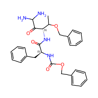 CC(OCc1ccccc1)[C@H](NC(=O)[C@H](Cc1ccccc1)NC(=O)OCc1ccccc1)C(=O)C(N)N